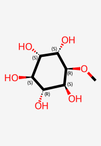 CO[C@H]1[C@@H](O)[C@H](O)[C@@H](O)[C@H](O)[C@@H]1O